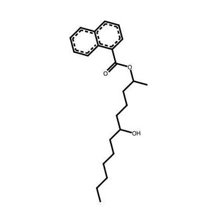 CCCCCCC(O)CCCC(C)OC(=O)c1cccc2ccccc12